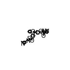 Cc1cc(-c2csc(C(=O)N3CC[C@@H](C(=O)N4CCC(O)(Cn5cnc6c(ccn6C)c5=O)CC4)[C@H](c4ccccc4)C3)n2)ccn1